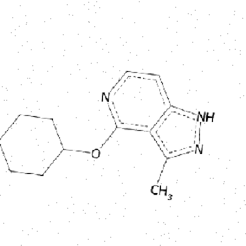 Cc1n[nH]c2ccnc(OC3CCCCC3)c12